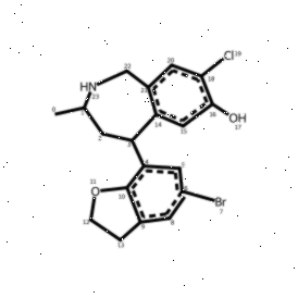 CC1CC(c2cc(Br)cc3c2OCC3)c2cc(O)c(Cl)cc2CN1